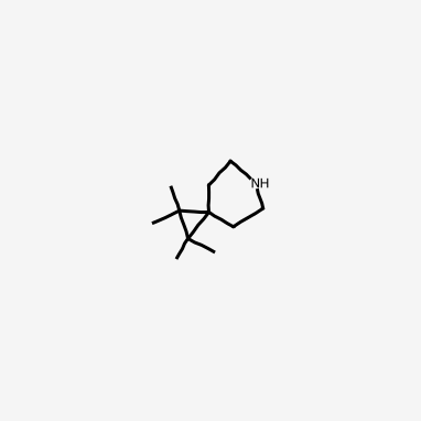 CC1(C)C(C)(C)C12CCNCC2